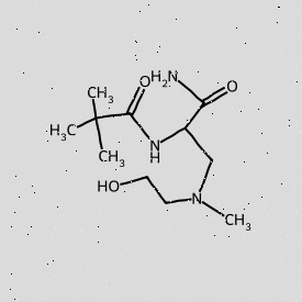 CN(CCO)CC(NC(=O)C(C)(C)C)C(N)=O